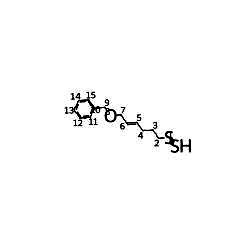 SSCCC/C=C/COCc1ccccc1